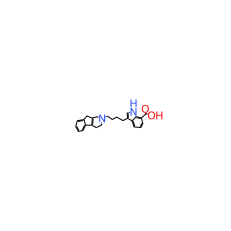 O=C(O)c1cccc2c(CCCCN3CCC4=C(Cc5ccccc54)C3)c[nH]c12